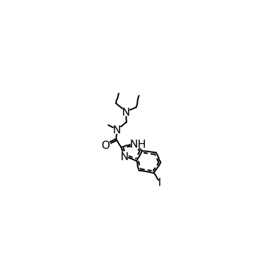 CCN(CC)CN(C)C(=O)c1nc2cc(I)ccc2[nH]1